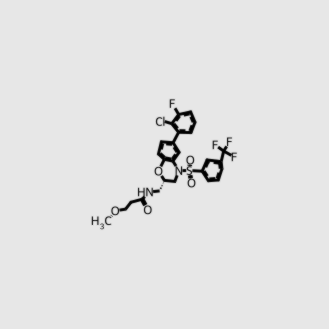 COCCC(=O)NC[C@H]1CN(S(=O)(=O)c2cccc(C(F)(F)F)c2)c2cc(-c3cccc(F)c3Cl)ccc2O1